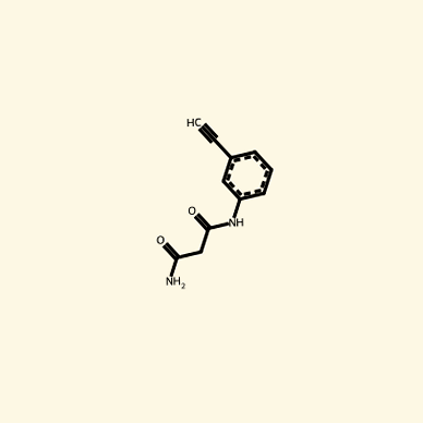 C#Cc1cccc(NC(=O)CC(N)=O)c1